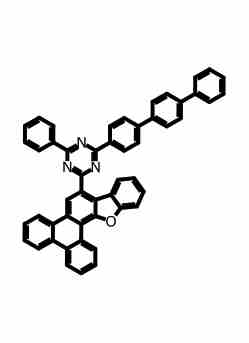 c1ccc(-c2ccc(-c3ccc(-c4nc(-c5ccccc5)nc(-c5cc6c7ccccc7c7ccccc7c6c6oc7ccccc7c56)n4)cc3)cc2)cc1